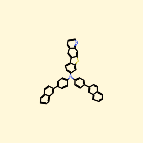 c1ccc2cc(-c3ccc(N(c4ccc(-c5ccc6ccccc6c5)cc4)c4ccc5c(c4)sc4cc6ncccc6cc45)cc3)ccc2c1